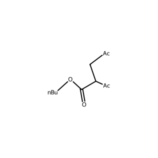 CCCCOC(=O)C(CC(C)=O)C(C)=O